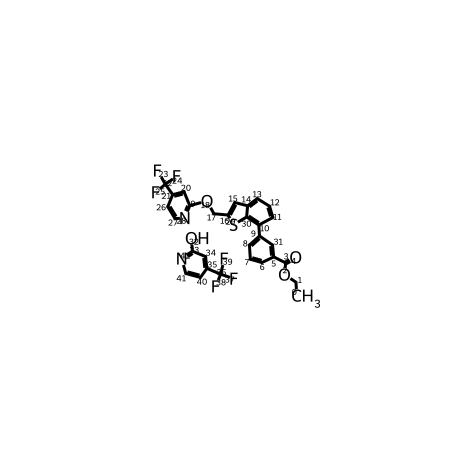 CCOC(=O)c1cccc(-c2cccc3cc(COc4cc(C(F)(F)F)ccn4)sc23)c1.Oc1cc(C(F)(F)F)ccn1